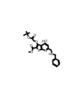 COC(=O)c1sc2nc(CNCc3ccccc3)ccc2c1OCC(=O)OC(C)(C)C.Cl